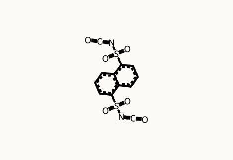 O=C=NS(=O)(=O)c1cccc2c(S(=O)(=O)N=C=O)cccc12